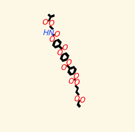 C=CC(=O)OCCCCOC(=O)Oc1ccc(C(=O)Oc2ccc(OC(=O)c3ccc(OC(=O)NCCOC(=O)C(=C)C)cc3)cc2)cc1